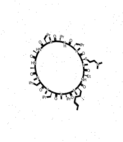 C/C=C/C[C@@H](C)C[C@@H]1C(=O)N[C@H](CC)C(=O)N(C)[C@H](SCCN(C)C)C(=O)N(C)[C@@H](CC(C)C)C(=O)N[C@H](C(C)C)C(=O)N(C)[C@H](CC(C)C)C(=O)N[C@H](C)C(=O)N[C@H](C)C(=O)N(C)C(CC(C)C)C(=O)N(C)[C@H](CC(C)C)C(=O)N(C)[C@H](C(C)C)C(=O)N1C